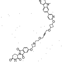 Cn1c2ccncc2c2ccc(-c3ccc(OC4CC(OCC#CCOCCN5CC(Oc6ccc7c(c6)C(=O)N(C6CCC(=O)NC6=O)C7=O)C5)C4)nc3)cc21